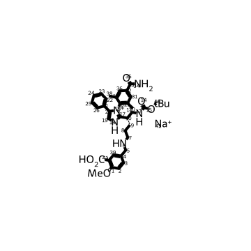 COc1ccc(CNCCC[C@@H](CNC(=O)OC(C)(C)C)c2[nH]cc(-c3ccccc3)[n+]2-c2c(C)cc(C(N)=O)cc2C)cc1C(=O)O.[Na+]